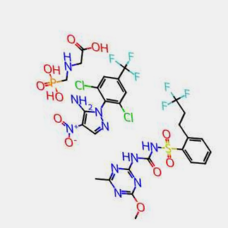 COc1nc(C)nc(NC(=O)NS(=O)(=O)c2ccccc2CCC(F)(F)F)n1.Nc1c([N+](=O)[O-])cnn1-c1c(Cl)cc(C(F)(F)F)cc1Cl.O=C(O)CNCP(=O)(O)O